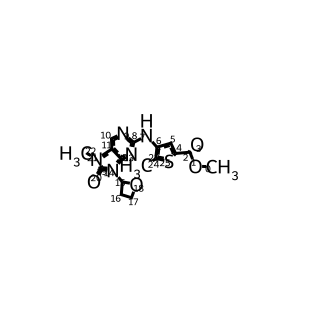 COC(=O)c1cc(Nc2ncc3c(n2)n(C2CCO2)c(=O)n3C)c(C)s1